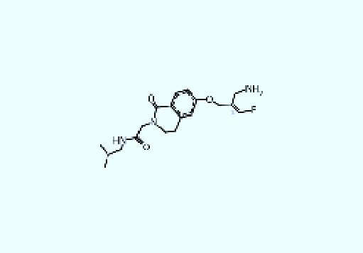 CC(C)CNC(=O)CN1CCc2cc(OC/C(=C/F)CN)ccc2C1=O